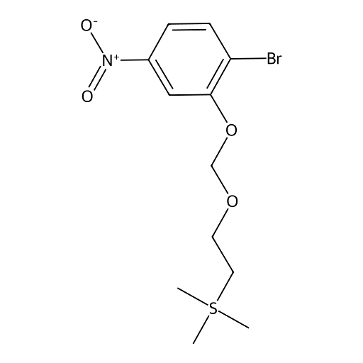 CS(C)(C)CCOCOc1cc([N+](=O)[O-])ccc1Br